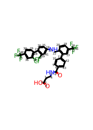 O=C(O)CCNC(=O)c1ccc(-c2cc(C(F)(F)F)ccc2CNc2ccc(-c3ccc(C(F)(F)F)cc3Cl)c(Cl)c2)cc1